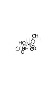 CCc1ccc2c(c1)[C@@H](NC[C@@H](O)C(CC1CCCCC1)NC=O)CS(=O)(=O)C2